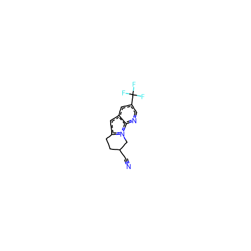 N#CC1CCc2cc3cc(C(F)(F)F)cnc3n2C1